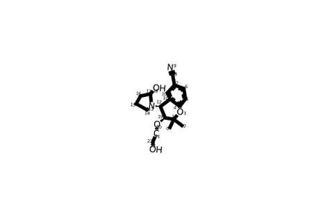 CC1(C)Oc2ccc(C#N)cc2[C@@H](N2CCCC2O)[C@@H]1OCCO